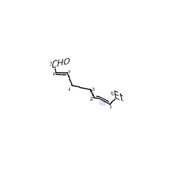 CC/C=C\CCC=CC=O